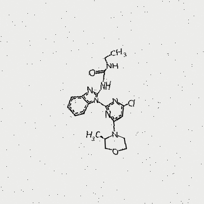 CCNC(=O)Nc1nc2ccccc2n1-c1nc(Cl)cc(N2CCOC[C@H]2C)n1